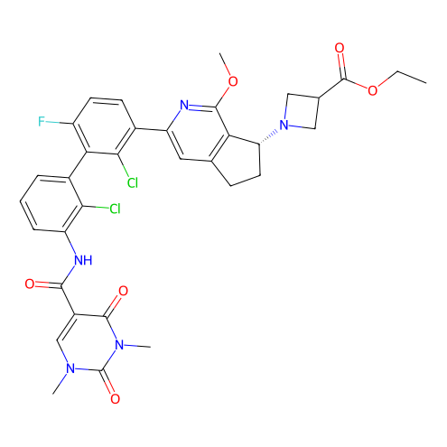 CCOC(=O)C1CN([C@@H]2CCc3cc(-c4ccc(F)c(-c5cccc(NC(=O)c6cn(C)c(=O)n(C)c6=O)c5Cl)c4Cl)nc(OC)c32)C1